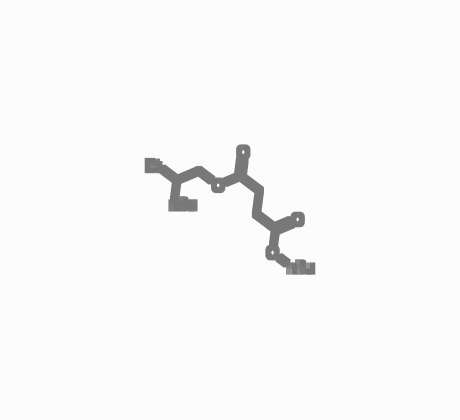 CCCCOC(=O)CCC(=O)OCC(CC)CCCC